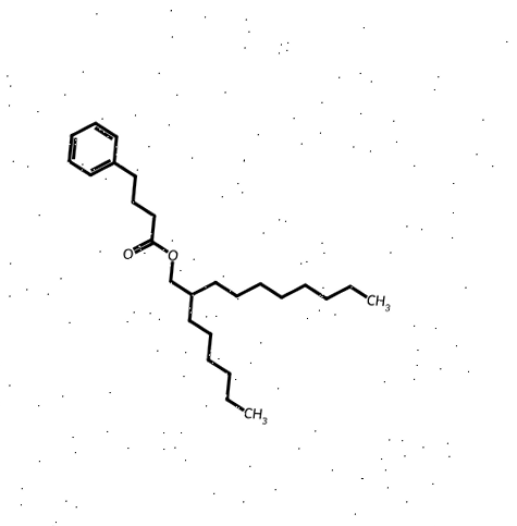 CCCCCCCCC(CCCCCC)COC(=O)CCCc1ccccc1